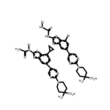 CCN(C(N)=O)c1nc2cc(-c3cnc(N4CCC(C)(C(=O)O)CC4)nc3)cc(C3CC3)c2s1.CCNC(=O)Nc1nc2cc(-c3cnc(N4CCC(C)(C(=O)O)CC4)nc3)cc(Br)c2s1